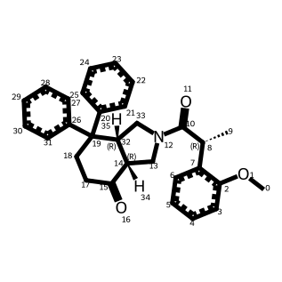 COc1ccccc1[C@@H](C)C(=O)N1C[C@@H]2C(=O)CCC(c3ccccc3)(c3ccccc3)[C@@H]2C1